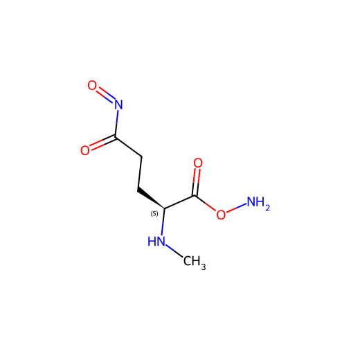 CN[C@@H](CCC(=O)N=O)C(=O)ON